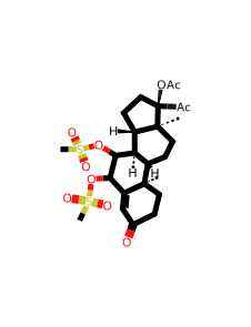 CC(=O)O[C@]1(C(C)=O)CC[C@H]2[C@@H]3C(OS(C)(=O)=O)C(OS(C)(=O)=O)C4=CC(=O)CC[C@]4(C)[C@H]3CC[C@@]21C